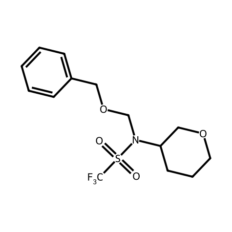 O=S(=O)(N(COCc1ccccc1)C1CCCOC1)C(F)(F)F